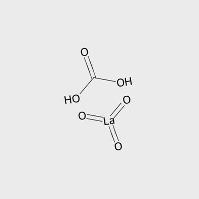 O=C(O)O.[O]=[La](=[O])=[O]